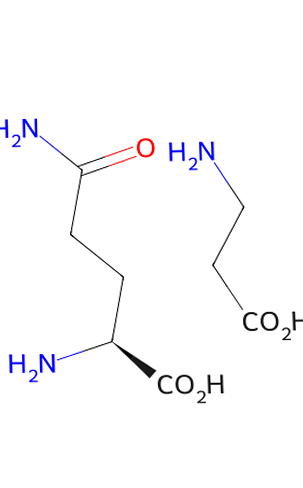 NC(=O)CC[C@H](N)C(=O)O.NCCC(=O)O